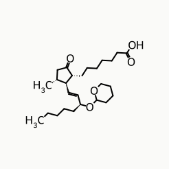 CCCCC[C@@H](/C=C/[C@H]1[C@H](C)CC(=O)[C@@H]1CCCCCCC(=O)O)OC1CCCCO1